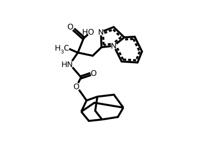 CC(Cc1ncc2ccccn12)(NC(=O)OC1C2CC3CC(C2)CC1C3)C(=O)O